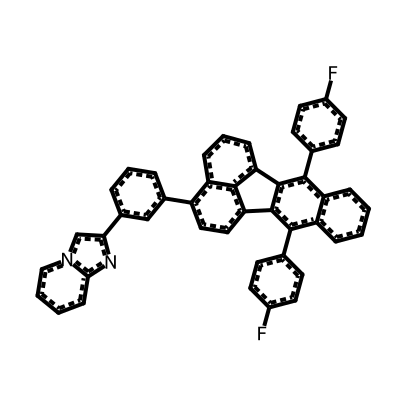 Fc1ccc(-c2c3c(c(-c4ccc(F)cc4)c4ccccc24)-c2ccc(-c4cccc(-c5cn6ccccc6n5)c4)c4cccc-3c24)cc1